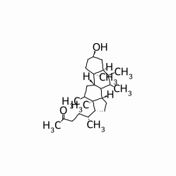 CC(=O)CC[C@@H](C)[C@H]1CC[C@H]2C3C(C)C(C)[C@@H]4C[C@H](O)CC[C@]4(C)[C@H]3CC(C)[C@]12C